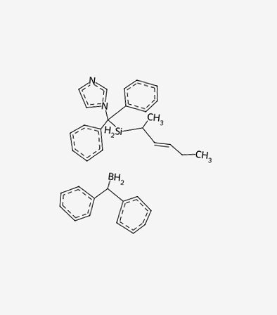 BC(c1ccccc1)c1ccccc1.CCC=CC(C)[SiH2]C(c1ccccc1)(c1ccccc1)n1ccnc1